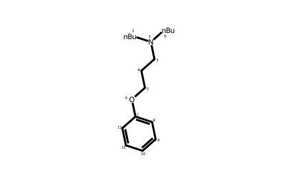 CCCCN(CCCC)CCCOc1c[c]ccc1